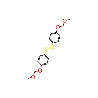 COCOc1ccc(SSc2ccc(OCOC)cc2)cc1